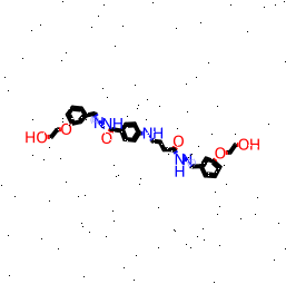 O=C(CCCNc1ccc(C(=O)N/N=C/c2cccc(OCCO)c2)cc1)N/N=C/c1cccc(OCCO)c1